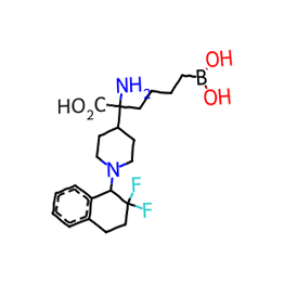 NC(CCCCB(O)O)(C(=O)O)C1CCN(C2c3ccccc3CCC2(F)F)CC1